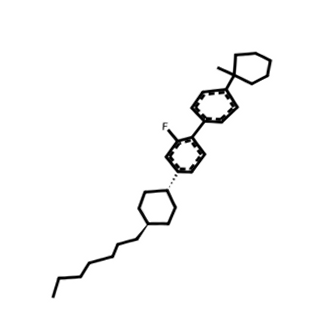 CCCCCCC[C@H]1CC[C@H](c2ccc(-c3ccc(C4(C)CCCCC4)cc3)c(F)c2)CC1